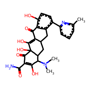 Cc1cccc(-c2ccc(O)c3c2CC2CC4C(N(C)C)C(O)=C(C(N)=O)C(=O)C4(O)C(O)=C2C3=O)n1